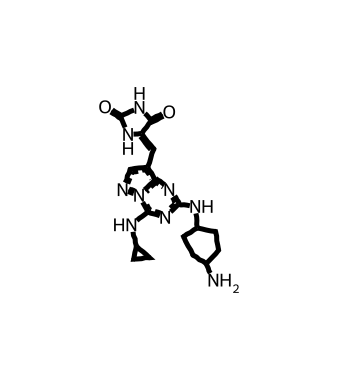 NC1CCC(Nc2nc(NC3CC3)n3ncc(C=C4NC(=O)NC4=O)c3n2)CC1